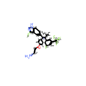 CC/C(=C(/c1ccc(OCCN)cc1)c1ccc2[nH]nc(F)c2c1)c1cc(F)cc(C(F)(F)F)c1